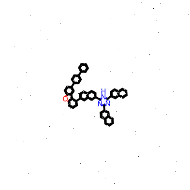 c1ccc(-c2ccc(-c3ccc4oc5cccc(-c6ccc7ccc(C8=NC(c9ccc%10ccccc%10c9)=NC(c9ccc%10ccccc%10c9)N8)cc7c6)c5c4c3)cc2)cc1